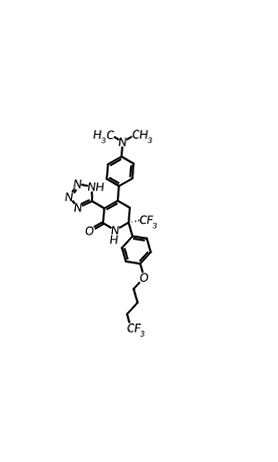 CN(C)c1ccc(C2=C(c3nnn[nH]3)C(=O)N[C@@](c3ccc(OCCCC(F)(F)F)cc3)(C(F)(F)F)C2)cc1